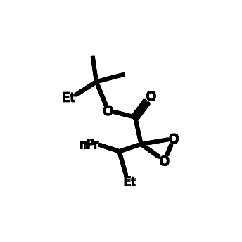 CCCC(CC)C1(C(=O)OC(C)(C)CC)OO1